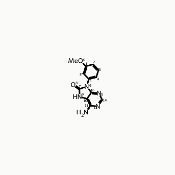 COc1c[c]cc(-n2c(=O)[nH]c3c(N)ncnc32)c1